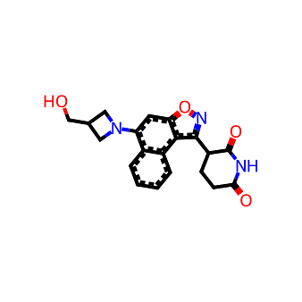 O=C1CCC(c2noc3cc(N4CC(CO)C4)c4ccccc4c23)C(=O)N1